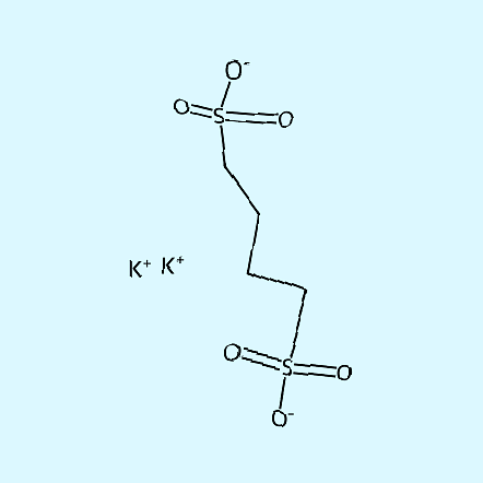 O=S(=O)([O-])CCCCS(=O)(=O)[O-].[K+].[K+]